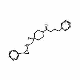 O=C(CCCc1ccccc1)N1CCC(F)(CNC2CC2c2ccccc2)CC1